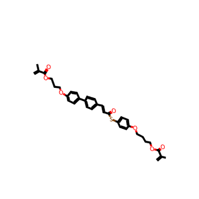 C=C(C)C(=O)OCCCCOc1ccc(SC(=O)/C=C/c2ccc(-c3ccc(OCCCOC(=O)C(=C)C)cc3)cc2)cc1